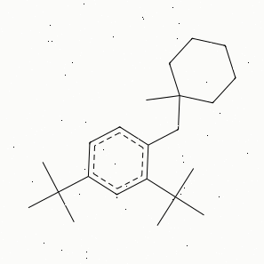 CC1(Cc2ccc(C(C)(C)C)[c]c2C(C)(C)C)CCCCC1